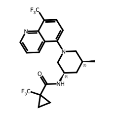 C[C@H]1C[C@@H](NC(=O)C2(C(F)(F)F)CC2)CN(c2ccc(C(F)(F)F)c3ncccc23)C1